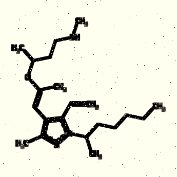 C=Cc1c(/C=C(\C)OC(C)CCNC)c(C)nn1C(C)CCCCC